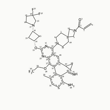 C=CC(=O)N1CC2(CCN(c3nc(O[C@H]4C[C@@H](N5CCC(F)(F)C5)C4)nc4c(OCC(F)(F)F)c(-c5c(C)ccc(N)c5C=N)c(C5CC5)cc34)CC2)C1